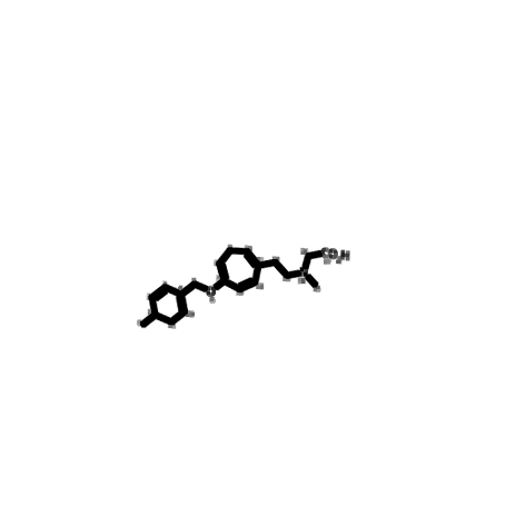 CC1C=CC(COC2=CCC=C(CCN(C)CC(=O)O)C=C2)=CC1